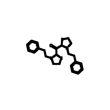 O=C(C1SCCN1CCc1ccccc1)C1SCCN1CCc1ccccc1